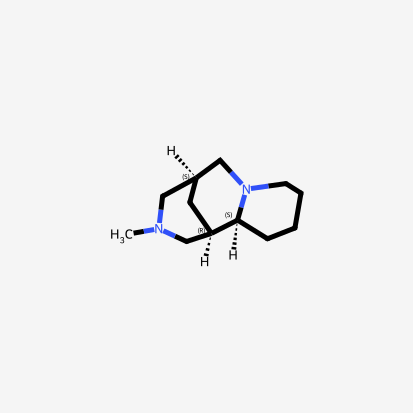 CN1C[C@@H]2C[C@H](C1)[C@@H]1CCCCN1C2